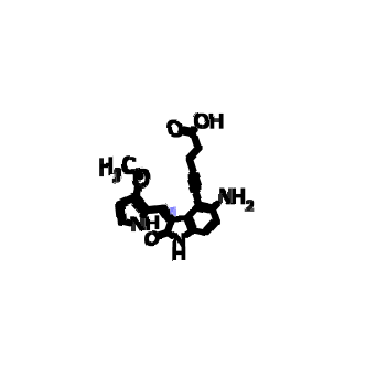 COc1cc[nH]c1/C=C1\C(=O)Nc2ccc(N)c(C#CCCC(=O)O)c21